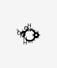 COc1cc2cc(n1)NCCCCc1cccc(c1)CCNC2=O